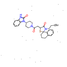 CC(C)(C)CCN1C(=O)C(CC(=O)N2CCC(n3c(=O)[nH]c4ccccc43)CC2)SC12CCCc1ccccc12